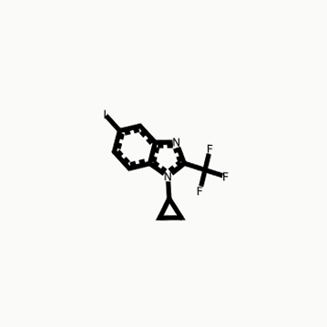 FC(F)(F)c1nc2cc(I)ccc2n1C1CC1